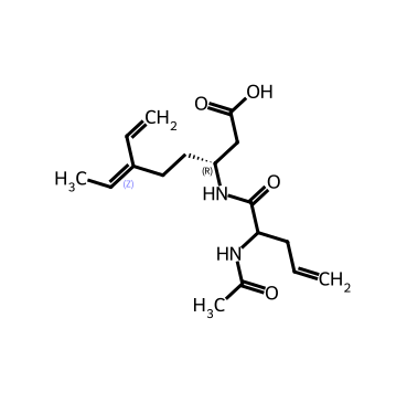 C=CCC(NC(C)=O)C(=O)N[C@H](CC/C(C=C)=C/C)CC(=O)O